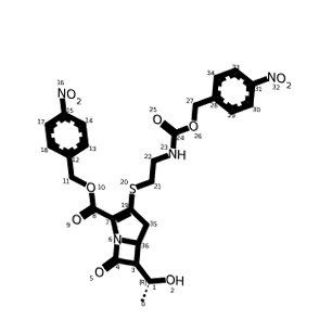 C[C@@H](O)C1C(=O)N2C(C(=O)OCc3ccc([N+](=O)[O-])cc3)=C(SCCNC(=O)OCc3ccc([N+](=O)[O-])cc3)CC12